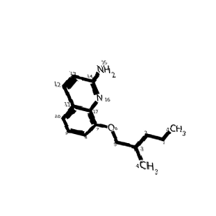 CCCC(C)COc1cccc2ccc(N)nc12